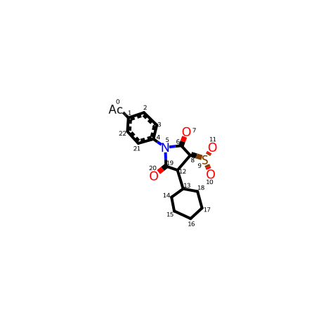 CC(=O)c1ccc(N2C(=O)C(=S(=O)=O)C(C3CCCCC3)C2=O)cc1